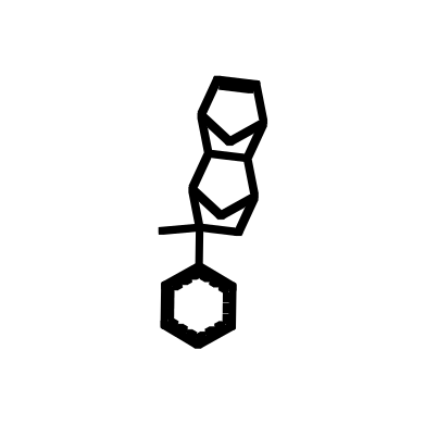 CC1(c2ccccc2)CC2CC1C1C3C=CC(C3)C21